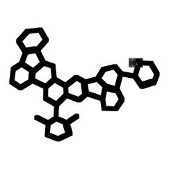 CC1=CCCC(C)C1C1CC2C3=C4C(CCC3)C3=C(CCCC3)C4CC2C2CC3=C(CC21)C1CCCC2=C1C3CCC2C1C=CCCN1